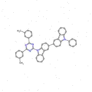 Cc1cccc(-c2nc(-c3cccc(C)c3)nc(-n3c4ccccc4c4cc(-c5ccc6c(c5)c5ccccc5n6-c5ccccc5)ccc43)n2)c1